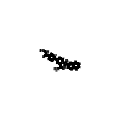 NC(=O)C1CN(c2ncc(C(=O)NO)cn2)CCN1S(=O)(=O)c1ccc2ccccc2c1